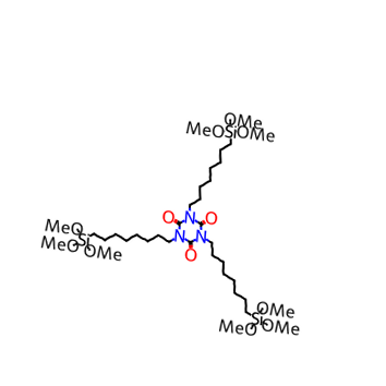 CO[Si](CCCCCCCCn1c(=O)n(CCCCCCCC[Si](OC)(OC)OC)c(=O)n(CCCCCCCC[Si](OC)(OC)OC)c1=O)(OC)OC